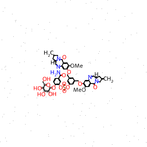 C=C1C[C@H]2C=Nc3cc(OCc4cc(COc5cc6c(cc5OC)C(=O)N5CC(=C)C[C@H]5C=N6)cc(OS(=O)(=O)Oc5cc(C(N)=O)ccc5O[C@@H]5O[C@H](CO)[C@H](O)[C@H](O)[C@H]5O)c4)c(OC)cc3C(=O)N2C1